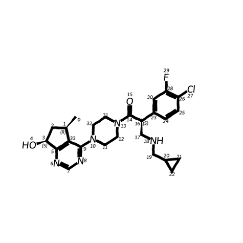 C[C@@H]1C[C@H](O)c2ncnc(N3CCN(C(=O)[C@H](CNCC4CC4)c4ccc(Cl)c(F)c4)CC3)c21